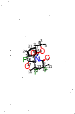 CC(C)(C)OC(=O)N1C(=O)[C@](C)(F)C[C@]2(F)COC[C@]12c1ccccc1F